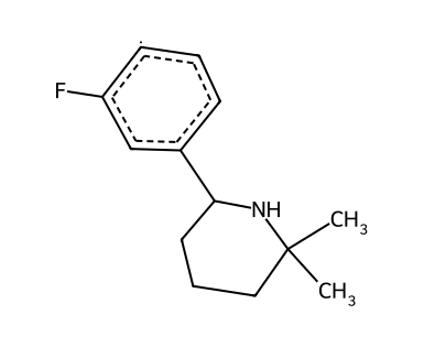 CC1(C)CCCC(c2cc[c]c(F)c2)N1